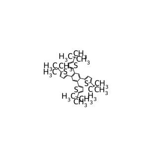 CC(C)(C)c1ccc(-c2cc(-c3ccc(C(C)(C)C)s3)c(-c3ccc(C(C)(C)C)s3)cc2-c2ccc(C(C)(C)C)s2)s1